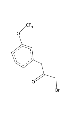 O=C(CBr)Cc1cccc(OC(F)(F)F)c1